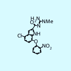 CNC(N)=NC(=O)c1cc2c(Cl)ccc(Oc3ccccc3[N+](=O)[O-])c2[nH]1